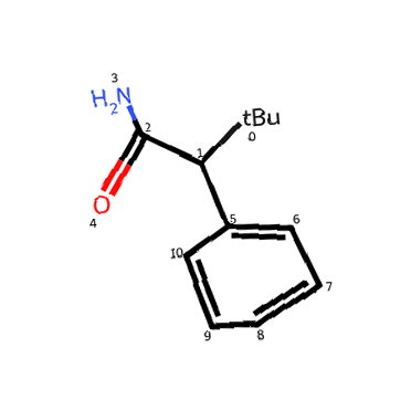 CC(C)(C)C(C(N)=O)c1ccccc1